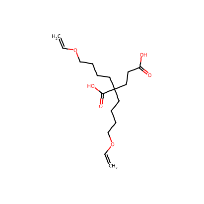 C=COCCCCC(CCCCOC=C)(CCC(=O)O)C(=O)O